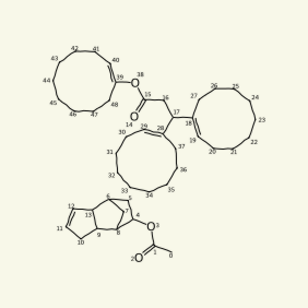 CC(=O)OC1CC2CC1C1CC=CC21.O=C(CC(C1=CCCCCCCCC1)C1=CCCCCCCCC1)OC1=CCCCCCCCC1